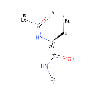 CCNC(=O)[C@H](CC(C)(C)C)NC(=O)CC